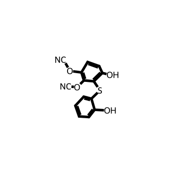 N#COc1ccc(O)c(Sc2ccccc2O)c1OC#N